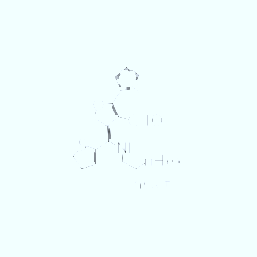 CCCCCCCCC(CCCCCC)CN/C(C1=CCCS1)=C1/COC(c2cccs2)=C1C=O